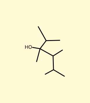 CC(C)C(C)C(C)(O)C(C)C